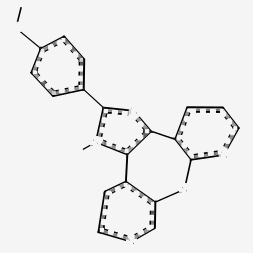 CSc1ccc(-c2nc3c(n2O)-c2ccncc2Nc2ncccc2-3)cc1